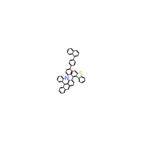 c1ccc(N(c2ccc(-c3ccc(-c4cccc5ccccc45)cc3)cc2)c2ccccc2-c2cccc3sc4ccccc4c23)c(-c2cccc3ccccc23)c1